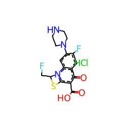 Cl.O=C(O)c1c2n(c3cc(N4CCNCC4)c(F)cc3c1=O)C(CF)S2